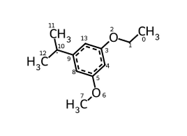 CCOc1cc(OC)cc([C](C)C)c1